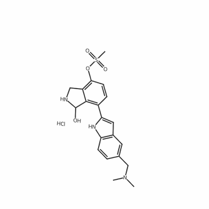 CN(C)Cc1ccc2[nH]c(-c3ccc(OS(C)(=O)=O)c4c3C(O)NC4)cc2c1.Cl